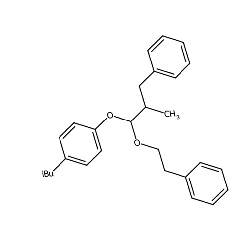 CCC(C)c1ccc(OC(OCCc2ccccc2)C(C)Cc2ccccc2)cc1